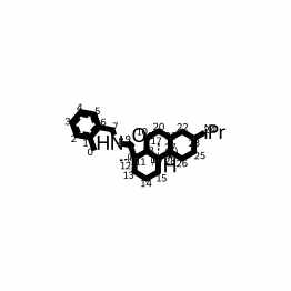 Cc1ccccc1CNC(=O)[C@]1(C)CCC[C@@]2(C)C1CCC1CC(C(C)C)CC[C@@H]12